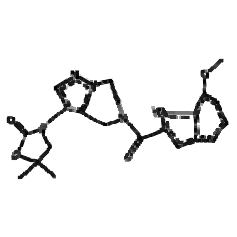 COc1cccc2cc(C(=O)N3CCn4ncc(N5CC(C)(C)OC5=O)c4C3)[nH]c12